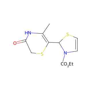 CCOC(=O)N1C=CSC1C1=C(C)NC(=O)CS1